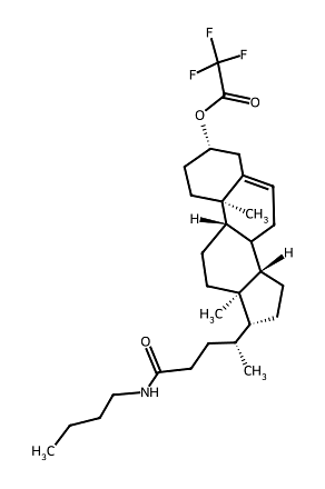 CCCCNC(=O)CC[C@@H](C)[C@H]1CC[C@H]2C3CC=C4C[C@@H](OC(=O)C(F)(F)F)CC[C@]4(C)[C@H]3CC[C@]12C